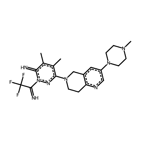 Cc1c(N2CCc3ncc(N4CCN(C)CC4)cc3C2)nn(C(=N)C(F)(F)F)c(=N)c1C